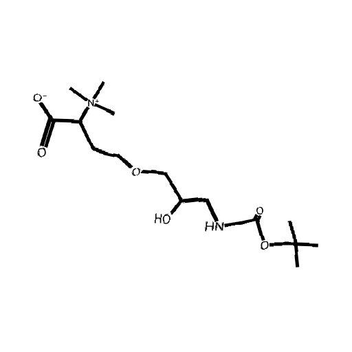 CC(C)(C)OC(=O)NCC(O)COCCC(C(=O)[O-])[N+](C)(C)C